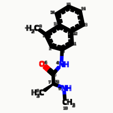 [CH2]c1cc(NC(=O)[C@H](C)NC)cc2ccccc12